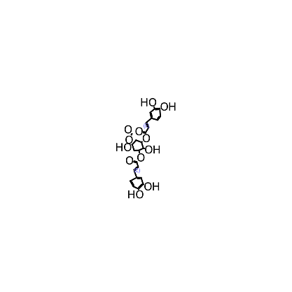 O=COC1(O)CC(OC(=O)/C=C/c2ccc(O)c(O)c2)C(O)C(OC(=O)/C=C/c2ccc(O)c(O)c2)C1